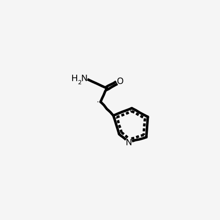 NC(=O)[CH]c1cccnc1